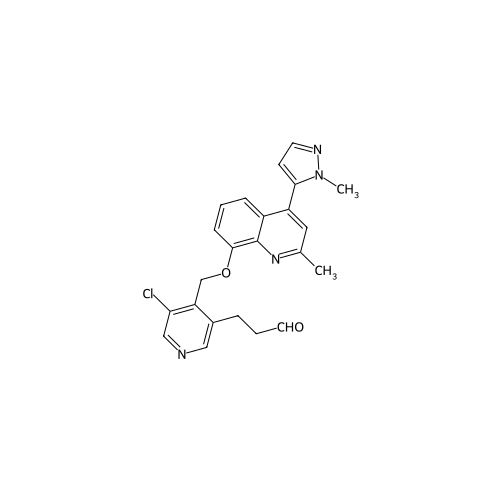 Cc1cc(-c2ccnn2C)c2cccc(OCc3c(Cl)cncc3CCC=O)c2n1